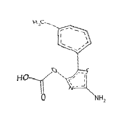 Cc1cccc(-c2sc(N)nc2OC(=O)O)c1